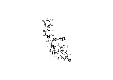 C[C@]12C[C@@H](O)[C@H]3[C@@H](CCC4=CC(=O)CC[C@@]43C)[C@@H]1CC[C@@H]2C(=O)CN1CCN(c2ccccn2)CC1.Cl.Cl